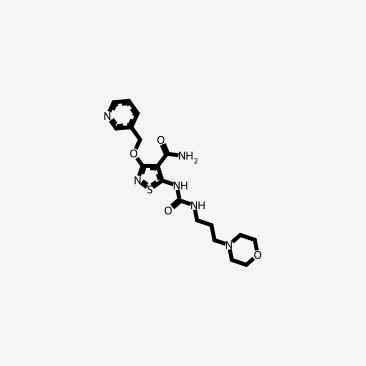 NC(=O)c1c(OCc2cccnc2)nsc1NC(=O)NCCCN1CCOCC1